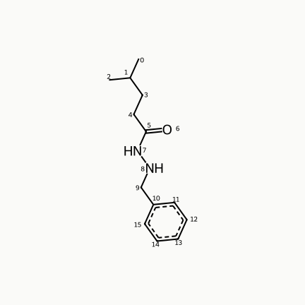 CC(C)CCC(=O)NNCc1ccccc1